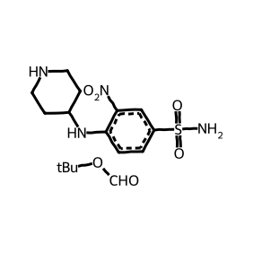 CC(C)(C)OC=O.NS(=O)(=O)c1ccc(NC2CCNCC2)c([N+](=O)[O-])c1